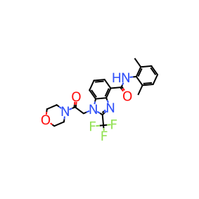 Cc1cccc(C)c1NC(=O)c1cccc2c1nc(C(F)(F)F)n2CC(=O)N1CCOCC1